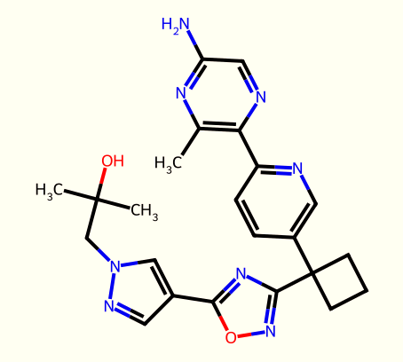 Cc1nc(N)cnc1-c1ccc(C2(c3noc(-c4cnn(CC(C)(C)O)c4)n3)CCC2)cn1